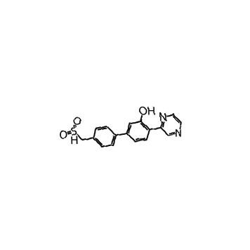 O=[SH](=O)Cc1ccc(-c2ccc(-c3cnccn3)c(O)c2)cc1